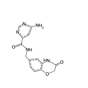 Nc1cc(C(=O)NCc2ccc3c(c2)NC(=O)CO3)ncn1